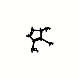 CCCn1nnc([N+](=O)[O-])c1C(C)C